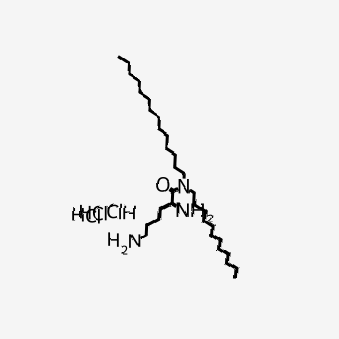 CCCCCCCCCCCCCCN(CCCCCCCCCCCC)C(=O)C(N)CCCCN.Cl.Cl.Cl